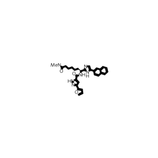 CNC(=O)CCCCC[C@H](NC(=O)c1cc(-c2ccco2)n[nH]1)c1ncc(-c2ccc3ccccc3c2)[nH]1